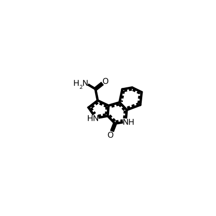 NC(=O)c1c[nH]c2c(=O)[nH]c3ccccc3c12